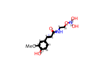 COc1cc(/C=C/C(=O)NCCON(O)O)ccc1O